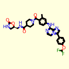 Cc1cc(Nc2nccn3c(-c4ccc(OC(F)F)cc4)cnc23)ccc1C(=O)N1CCC(C(=O)NC[C@H]2CNC(=O)O2)CC1